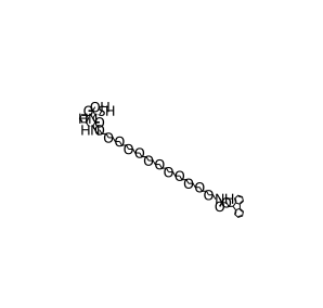 O=C(NCCOCCOCCOCCOCCOCCOCCOCCOCCOCCOCCOCCON[C@H](Cc1ccccc1)C(=O)N[C@@H](CS)C(=O)O)OCC1c2ccccc2-c2ccccc21